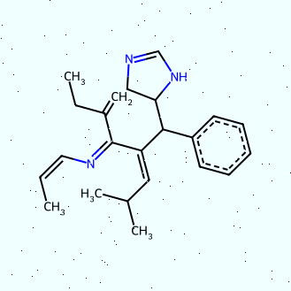 C=C(CC)C(=N\C=C/C)/C(=C\C(C)C)C(c1ccccc1)C1CN=CN1